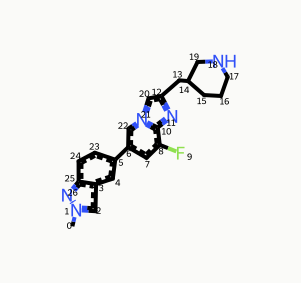 Cn1cc2cc(-c3cc(F)c4nc(CC5CCCNC5)cn4c3)ccc2n1